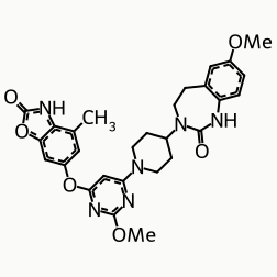 COc1ccc2c(c1)CCN(C1CCN(c3cc(Oc4cc(C)c5[nH]c(=O)oc5c4)nc(OC)n3)CC1)C(=O)N2